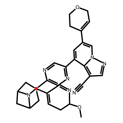 COC1CC=C(CN2C3CC2CN(c2cnc(-c4cc(C5=CCOCC5)cn5ncc(C#N)c45)cn2)C3)C=N1